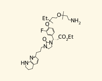 CCOC(=O)C[C@@H](c1ccc(OC(C)(CC)CCOC(C)(C)CCN)c(F)c1)N1CCN(CCCc2ccc3c(n2)NCCC3)C1=O